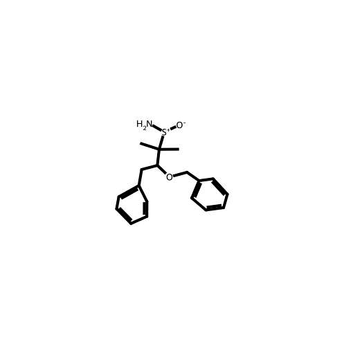 CC(C)(C(Cc1ccccc1)OCc1ccccc1)[S+](N)[O-]